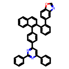 c1ccc(-c2cc(-c3ccc(-c4c(-c5ccccc5-c5ccc6ocnc6c5)ccc5ccccc45)cc3)nc(-c3ccccc3)n2)cc1